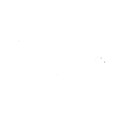 N#CC=C1[CH]CCCC1